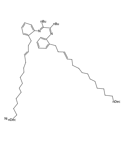 CCCCCCCCCCCCCCCCCCCCCC=CCCc1ccccc1N=C(CCCC)C(CCCC)=Nc1ccccc1CCC=CCCCCCCCCCCCCCCCCCCCCC.[Ni]